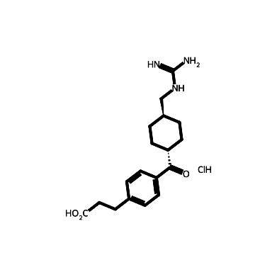 Cl.N=C(N)NC[C@H]1CC[C@H](C(=O)c2ccc(CCC(=O)O)cc2)CC1